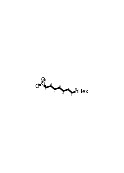 CCCCCCCCCCCCC=S(=O)=O